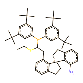 CCSC(Cc1cccc2c1[C@]1(CCc3cccc(N)c31)CC2)P(c1cc(C(C)(C)C)cc(C(C)(C)C)c1)c1cc(C(C)(C)C)cc(C(C)(C)C)c1